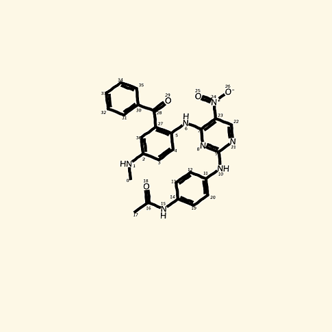 CNc1ccc(Nc2nc(Nc3ccc(NC(C)=O)cc3)ncc2[N+](=O)[O-])c(C(=O)c2ccccc2)c1